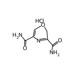 Cl.NC(=O)C1=COCC(C(N)=O)=N1